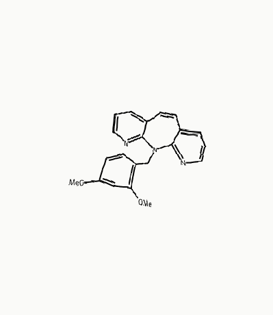 COc1ccc(CN2c3ncccc3C=Cc3cccnc32)c(OC)c1